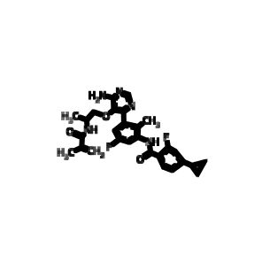 C=C(C)C(=O)NC(C)COc1c(N)ncnc1-c1cc(F)cc(NC(=O)c2ccc(C3CC3)cc2F)c1C